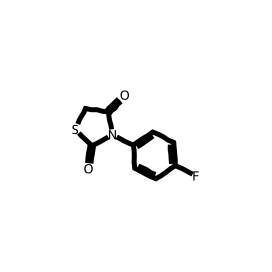 O=C1CSC(=O)N1c1ccc(F)cc1